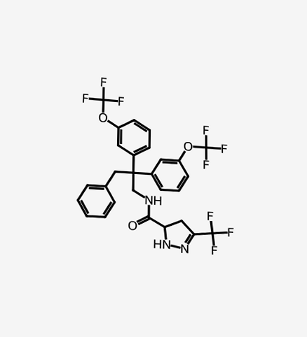 O=C(NCC(Cc1ccccc1)(c1cccc(OC(F)(F)F)c1)c1cccc(OC(F)(F)F)c1)C1CC(C(F)(F)F)=NN1